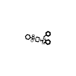 O=S(=O)(C1CCCCC1)N1CCN(c2nc3ccccc3n2Cc2ccccc2)CC1